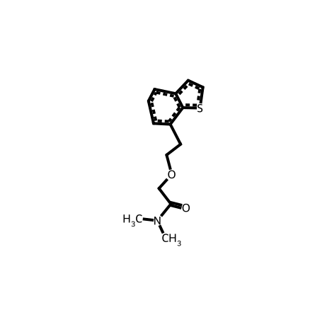 CN(C)C(=O)COCCc1cccc2ccsc12